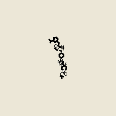 CC(C)c1cccc(CC2OCCn3c2nnc3[C@H]2CC[C@H](n3cc(C4(F)CCN(C(=O)OC(C)(C)C)CC4)nn3)CC2)c1